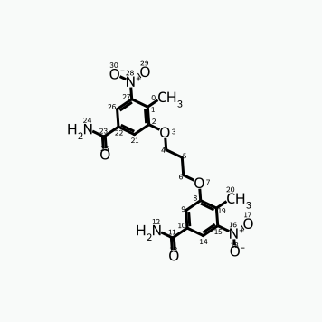 Cc1c(OCCCOc2cc(C(N)=O)cc([N+](=O)[O-])c2C)cc(C(N)=O)cc1[N+](=O)[O-]